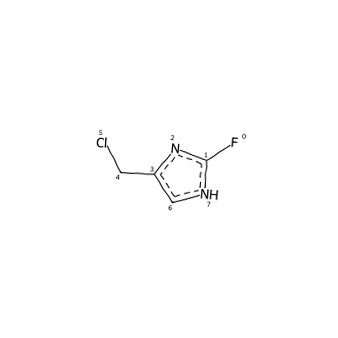 Fc1nc(CCl)c[nH]1